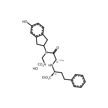 CCOC(=O)[C@H](CCc1ccccc1)N[C@@H](C)C(=O)N(CC(=O)O)C1Cc2ccc(O)cc2C1.Cl